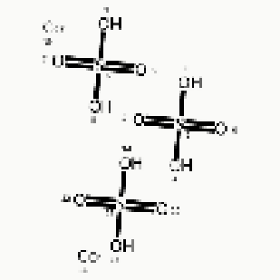 O=S(=O)(O)O.O=S(=O)(O)O.O=S(=O)(O)O.[Co].[Co]